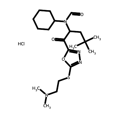 CN(C)CCSc1nnc(C(=O)C(CC(C)(C)C)N(C=O)C2CCCCC2)o1.Cl